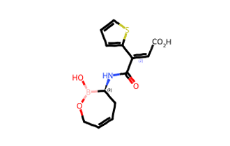 O=C(O)/C=C(/C(=O)N[C@H]1CC=CCOB1O)c1cccs1